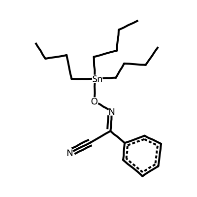 CCC[CH2][Sn]([CH2]CCC)([CH2]CCC)[O]/N=C(\C#N)c1ccccc1